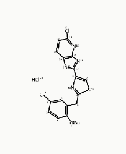 CC(C)COc1ccc(Cl)cc1Cc1nc(-c2nc3nc(Cl)ccc3[nH]2)cs1.Cl